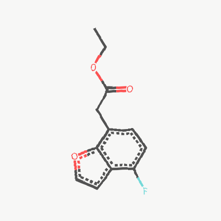 CCOC(=O)Cc1ccc(F)c2ccoc12